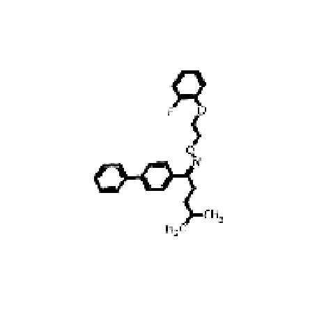 CC(C)CCC(=NOCCOc1ccc[c]c1F)c1ccc(-c2ccccc2)cc1